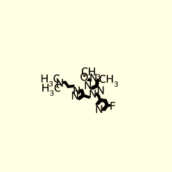 COc1nc(C)c2nc(-c3cncc(F)c3)n(Cc3cnn(CCCN(C)C)c3)c2n1